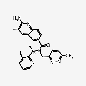 Cc1cc2cc(C(=O)N(Cc3ccc(C(F)(F)F)nn3)[C@H](C)c3ncccc3I)ccc2nc1N